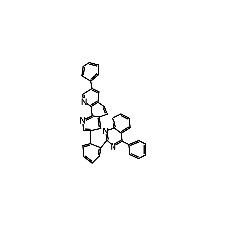 c1ccc(-c2cnc3c(ccc4cc(-c5ccccc5-c5nc(-c6ccccc6)c6ccccc6n5)cnc43)c2)cc1